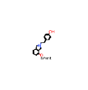 CCCCCOc1cccc2c1CN(CCc1ccc(O)cc1)C2